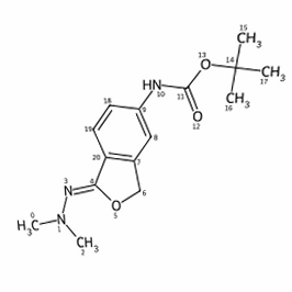 CN(C)/N=C1\OCc2cc(NC(=O)OC(C)(C)C)ccc21